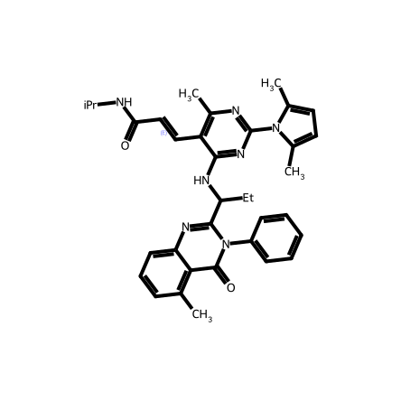 CCC(Nc1nc(-n2c(C)ccc2C)nc(C)c1/C=C/C(=O)NC(C)C)c1nc2cccc(C)c2c(=O)n1-c1ccccc1